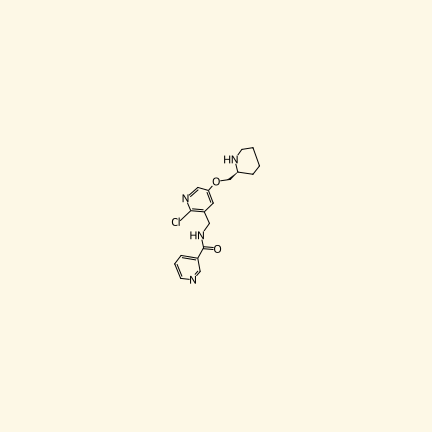 O=C(NCc1cc(OC[C@@H]2CCCCN2)cnc1Cl)c1cccnc1